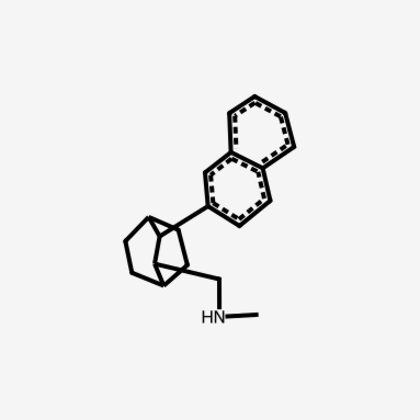 CNCC1C2CCC(CC2)C1c1ccc2ccccc2c1